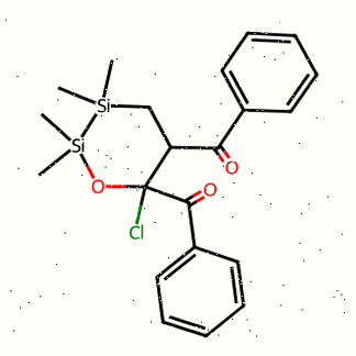 C[Si]1(C)CC(C(=O)c2ccccc2)C(Cl)(C(=O)c2ccccc2)O[Si]1(C)C